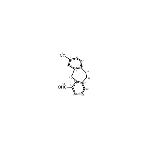 N#Cc1ccc2c(c1)Sc1c(C=O)cccc1CC2